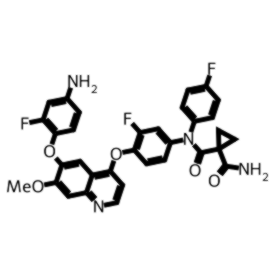 COc1cc2nccc(Oc3ccc(N(C(=O)C4(C(N)=O)CC4)c4ccc(F)cc4)cc3F)c2cc1Oc1ccc(N)cc1F